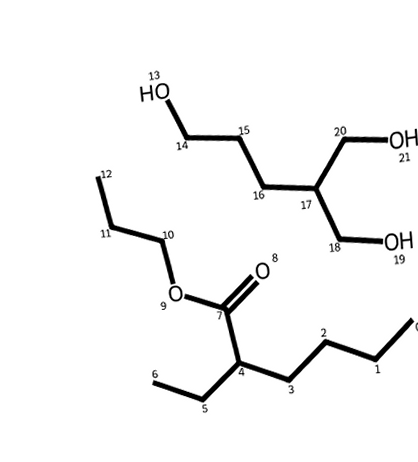 CCCCC(CC)C(=O)OCCC.OCCCC(CO)CO